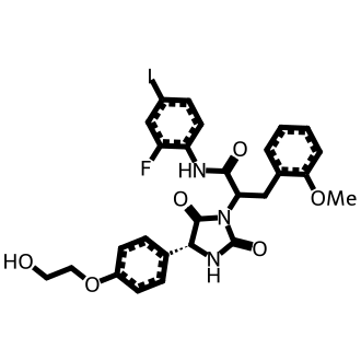 COc1ccccc1CC(C(=O)Nc1ccc(I)cc1F)N1C(=O)N[C@H](c2ccc(OCCO)cc2)C1=O